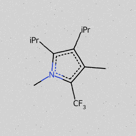 Cc1c(C(C)C)c(C(C)C)n(C)c1C(F)(F)F